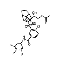 CC(=O)OC[C@H](O)[C@@H](O)C1(O)C2CCC1CC(S(=O)(=O)c1cc(C(=O)Nc3cc(F)c(F)c(F)c3)ccc1Cl)C2